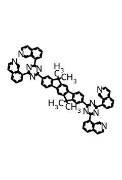 CC1(C)c2cc(-c3nc(-c4cccc5ccncc45)nc(-c4cccc5ccncc45)n3)ccc2-c2cc3c(cc21)-c1ccc(-c2nc(-c4cccc5ccncc45)nc(-c4cccc5ccncc45)n2)cc1C3(C)C